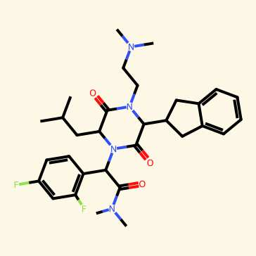 CC(C)CC1C(=O)N(CCN(C)C)C(C2Cc3ccccc3C2)C(=O)N1C(C(=O)N(C)C)c1ccc(F)cc1F